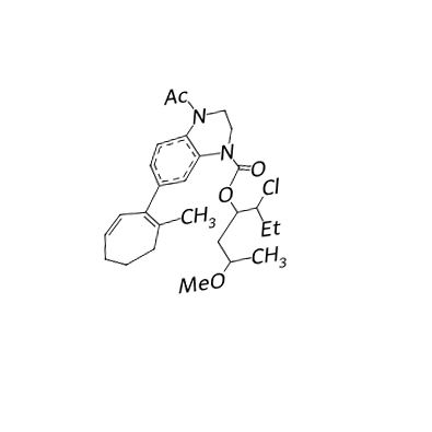 CCC(Cl)C(CC(C)OC)OC(=O)N1CCN(C(C)=O)c2ccc(C3=C(C)CCCC=C3)cc21